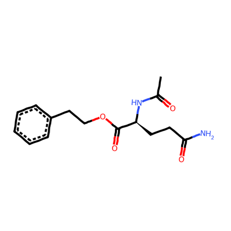 CC(=O)N[C@@H](CCC(N)=O)C(=O)OCCc1ccccc1